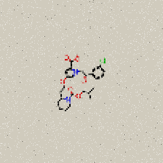 COC(=O)c1cc(OCCC2CCCCN2C(=O)OCC(C)C)cn1CC(=O)c1cccc(Cl)c1